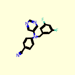 N#Cc1ccc(N(Cc2cc(F)cc(F)c2)c2cncnc2)cc1